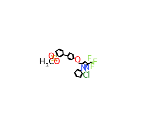 CS(=O)(=O)c1cccc(-c2ccc(OCc3cc(C(F)(F)F)nn3-c3ccccc3Cl)cc2)c1